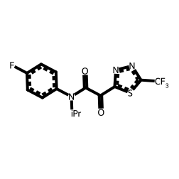 CC(C)N(C(=O)C(=O)c1nnc(C(F)(F)F)s1)c1ccc(F)cc1